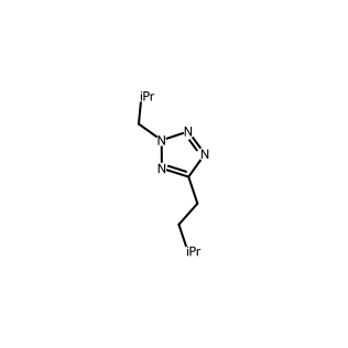 CC(C)CCc1nnn(CC(C)C)n1